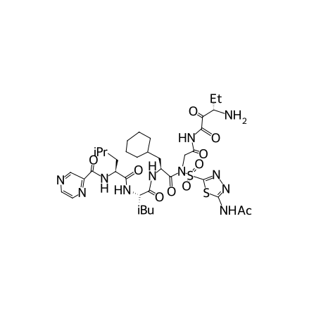 CC[C@H](N)C(=O)C(=O)NC(=O)CN(C(=O)[C@H](CC1CCCCC1)NC(=O)[C@@H](NC(=O)[C@H](CC(C)C)NC(=O)c1cnccn1)[C@@H](C)CC)S(=O)(=O)c1nnc(NC(C)=O)s1